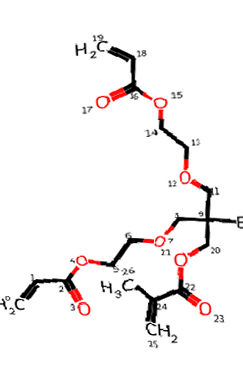 C=CC(=O)OCCOCC(CC)(COCCOC(=O)C=C)COC(=O)C(=C)C